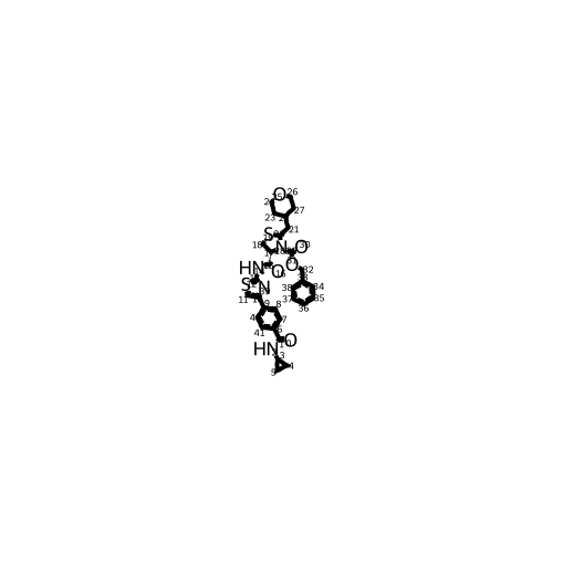 O=C(NC1CC1)c1ccc(-c2csc(NC(=O)[C@@H]3CSC(CC4CCOCC4)N3C(=O)OCc3ccccc3)n2)cc1